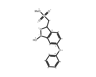 COS(=O)(=O)CC1OB(O)c2cc(Oc3ccccc3)ccc21